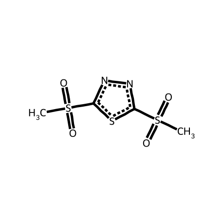 CS(=O)(=O)c1nnc(S(C)(=O)=O)s1